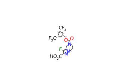 O=C(O)c1nn2c(c1F)CN(C(=O)OCc1cc(C(F)(F)F)cc(C(F)(F)F)c1)CCC2